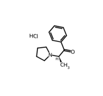 C[C@H](C(=O)c1ccccc1)N1CCCC1.Cl